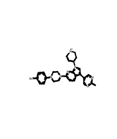 CC(=O)c1ccc(N2CCN(c3ccc4c(-c5cnc(C)nc5)cn(C5CCNCC5)c4n3)CC2)cc1